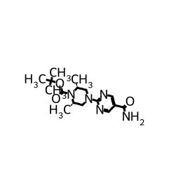 C[C@@H]1CN(c2ncc(C(N)=O)cn2)C[C@H](C)N1C(=O)OC(C)(C)C